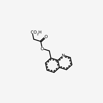 O=C(O)CC(=O)OCc1cccc2cccnc12